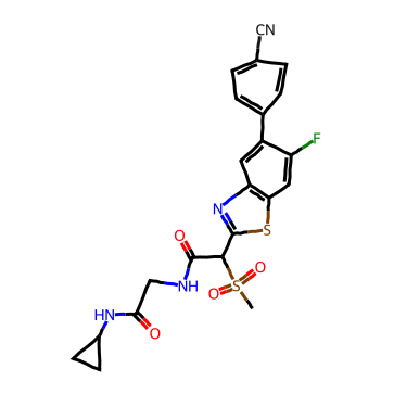 CS(=O)(=O)C(C(=O)NCC(=O)NC1CC1)c1nc2cc(-c3ccc(C#N)cc3)c(F)cc2s1